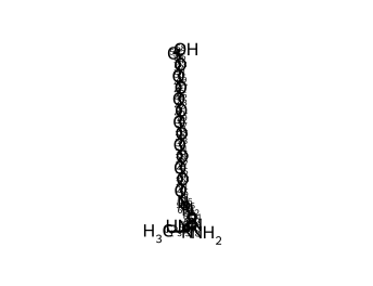 CCCCc1nc2c(N)nc3ccc(N4CCN(CCOCCOCCOCCOCCOCCOCCOCCOCCOCCOCCOCCOCCC(=O)O)CC4)cc3c2[nH]1